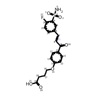 NS(=O)(=O)c1cc(/C=C/C(=O)c2ccc(OCCCC(=O)O)cc2)ccc1F